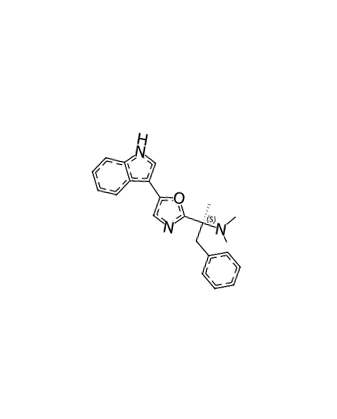 CN(C)[C@@](C)(Cc1ccccc1)c1ncc(-c2c[nH]c3ccccc23)o1